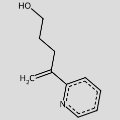 C=C(CCCO)c1ccccn1